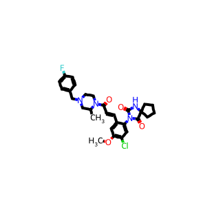 COc1cc(C=CC(=O)N2CCN(Cc3ccc(F)cc3)CC2C)c(N2C(=O)NC3(CCCC3)C2=O)cc1Cl